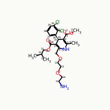 COC(=O)C1=C(C)NC(COCCOCCN)=C(C(=O)OCC(C)C)[C@H]1c1cccc(Cl)c1Cl